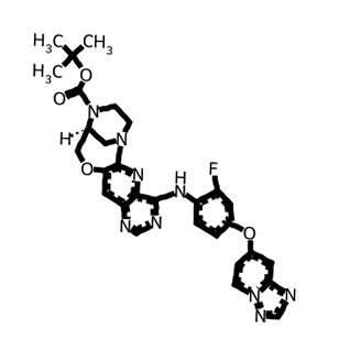 CC(C)(C)OC(=O)N1CCN2C[C@H]1COc1cc3ncnc(Nc4ccc(Oc5ccn6ncnc6c5)cc4F)c3nc12